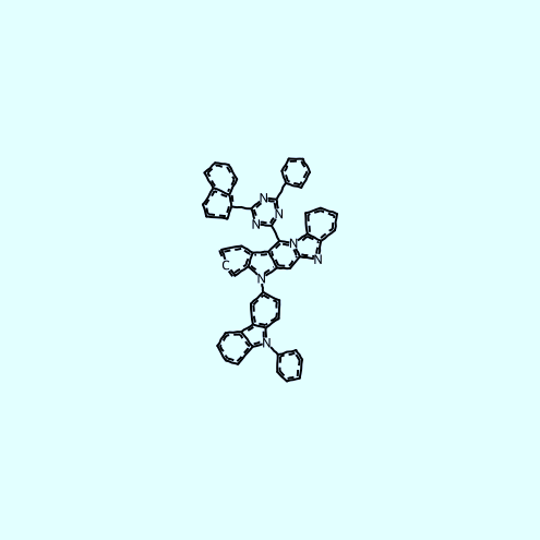 c1ccc(-c2nc(-c3cccc4ccccc34)nc(-c3c4c5ccccc5n(-c5ccc6c(c5)c5ccccc5n6-c5ccccc5)c4cc4nc5ccccc5n34)n2)cc1